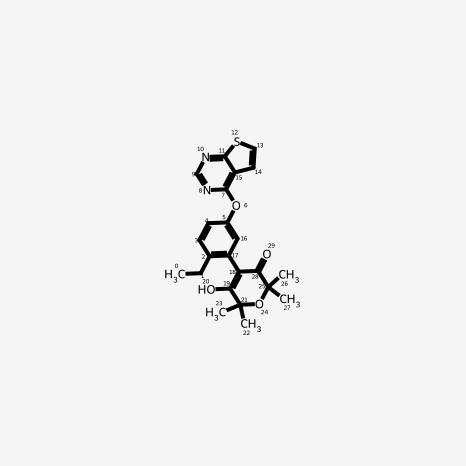 CCc1ccc(Oc2ncnc3sccc23)cc1C1=C(O)C(C)(C)OC(C)(C)C1=O